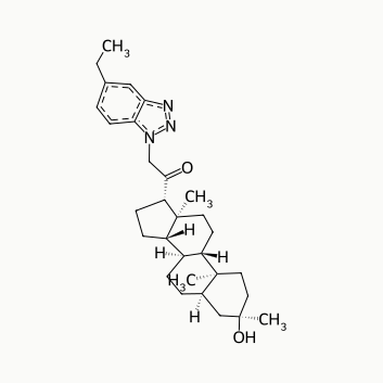 CCc1ccc2c(c1)nnn2CC(=O)[C@H]1CC[C@H]2[C@@H]3CC[C@@H]4C[C@](C)(O)CC[C@]4(C)[C@H]3CC[C@]12C